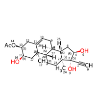 C#C[C@]1(O)[C@H](O)C[C@H]2[C@@H]3CC=C4C[C@H](OC(C)=O)[C@H](O)C[C@]4(C)[C@H]3CC[C@@]21C